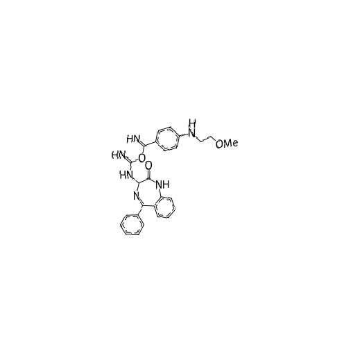 COCCNc1ccc(C(=N)OC(=N)NC2N=C(c3ccccc3)c3ccccc3NC2=O)cc1